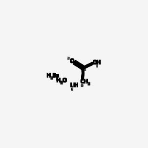 CC(=O)O.O.[BaH2].[LiH]